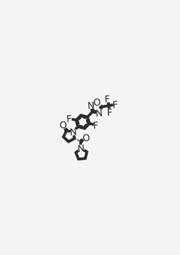 O=C([C@@H]1CCC(=O)N1c1cc(F)c(-c2noc(C(F)(F)F)n2)cc1F)N1CCCC1